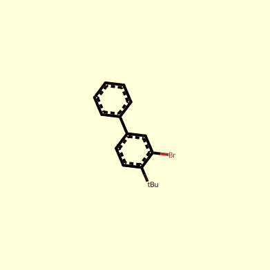 CC(C)(C)c1ccc(-c2ccccc2)cc1Br